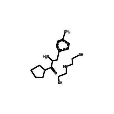 Cc1ccc(CC(N)C(=O)N2CCCC2)cc1.OCCNCCO